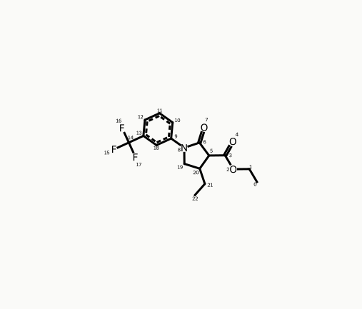 CCOC(=O)C1C(=O)N(c2cccc(C(F)(F)F)c2)CC1CC